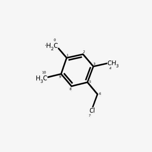 [CH2]c1cc(C)c(CCl)cc1C